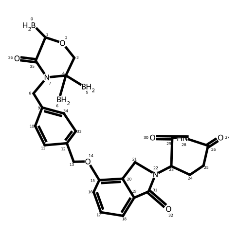 BC1OCC(B)(B)N(Cc2ccc(COc3cccc4c3CN(C3CCC(=O)NC3=O)C4=O)cc2)C1=O